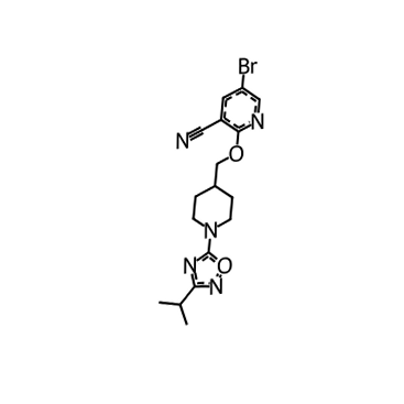 CC(C)c1noc(N2CCC(COc3ncc(Br)cc3C#N)CC2)n1